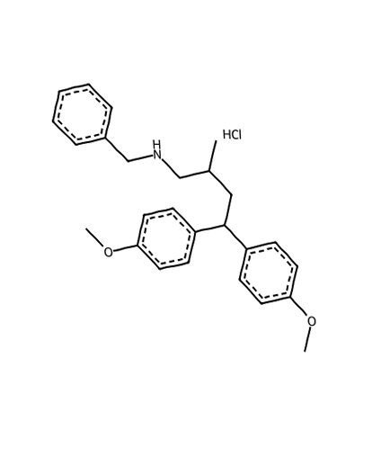 COc1ccc(C(CC(C)CNCc2ccccc2)c2ccc(OC)cc2)cc1.Cl